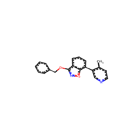 Cc1ccncc1-c1cccc2c(OCc3ccccc3)noc12